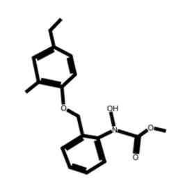 CCc1ccc(OCc2ccccc2N(O)C(=O)OC)c(C)c1